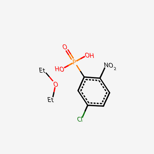 CCOCC.O=[N+]([O-])c1ccc(Cl)cc1P(=O)(O)O